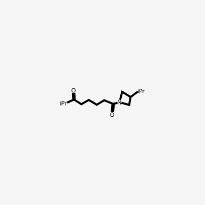 CC(C)C(=O)CCCCC(=O)N1CC(C(C)C)C1